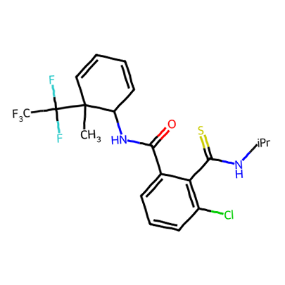 CC(C)NC(=S)c1c(Cl)cccc1C(=O)NC1C=CC=CC1(C)C(F)(F)C(F)(F)F